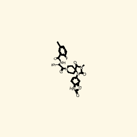 Cc1ccc(F)c(C(=O)N[C@@H](C(=O)N2CCC3(CC2)C(=O)N(C)C(=O)N3c2ccc3[nH]c(=O)oc3c2)C(C)C)c1